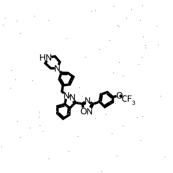 FC(F)(F)Oc1ccc(-c2noc(-c3nn(Cc4cccc(N5CCNCC5)c4)c4ccccc34)n2)cc1